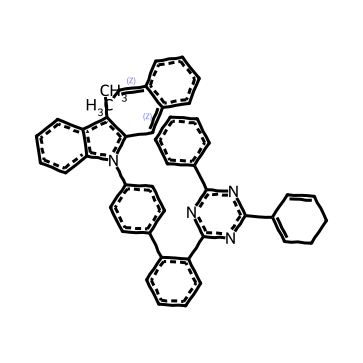 C/C=c1/cccc/c1=C/c1c(C)c2ccccc2n1-c1ccc(-c2ccccc2-c2nc(C3=CCCC=C3)nc(-c3ccccc3)n2)cc1